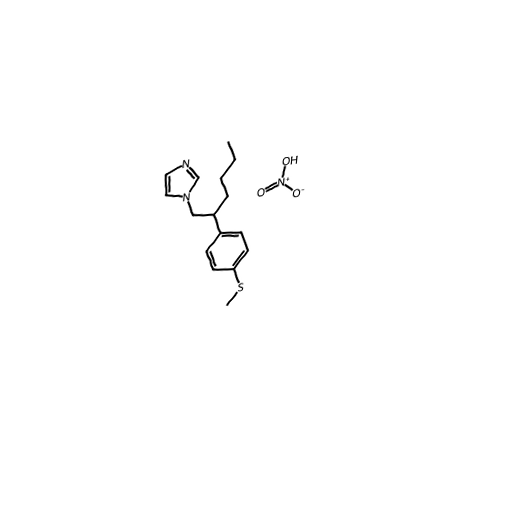 CCCCC(Cn1ccnc1)c1ccc(SC)cc1.O=[N+]([O-])O